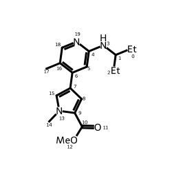 CCC(CC)Nc1cc(-c2cc(C(=O)OC)n(C)c2)c(C)cn1